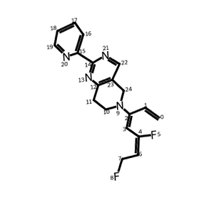 C=C/C(=C\C(F)=C/CF)N1CCc2nc(-c3ccccn3)ncc2C1